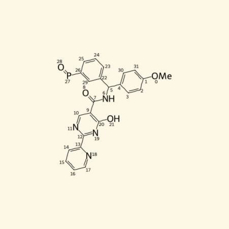 COc1ccc(C(NC(=O)c2cnc(-c3ccccn3)nc2O)c2cccc(P=O)c2)cc1